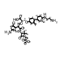 C[n+]1cc(-c2ccc(OC[C@H](O/N=C(\C(=O)N[C@@H]3C(=O)N(OS(=O)(=O)[O-])C3(C)C)c3nc(N)sc3Cl)C(=O)O)cc2F)ccc1NCCN